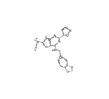 O=[N+]([O-])c1cc2c(NCc3ccc4c(c3)OCO4)nc(-c3ccno3)nc2s1